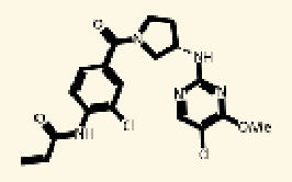 C=CC(=O)Nc1ccc(C(=O)N2CC[C@H](Nc3ncc(Cl)c(OC)n3)C2)cc1Cl